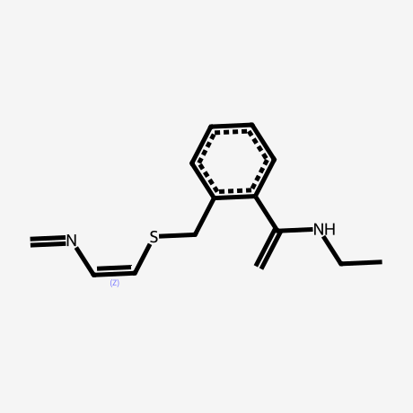 C=N/C=C\SCc1ccccc1C(=C)NCC